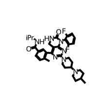 Cc1ccc(C(=O)NC(C)C)cc1-c1nc(N2CCC(N3CCC(C)CC3)CC2)nc2c1CNC(=O)N2c1c(F)cccc1F